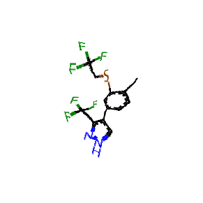 Cc1ccc(-c2c[nH]nc2C(F)(F)F)cc1SCC(F)(F)F